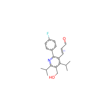 CC(C)c1nc(-c2ccc(F)cc2)c(/C=C/C=O)c(C(C)C)c1CO